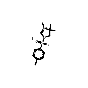 Cc1ccc(S(=O)(=O)N2C=[N+](C)C(C)(C)C2)cc1.[I-]